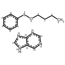 CCCCOSc1ccccc1.c1ncc2[nH]cnc2n1